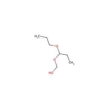 CCCOC(CC)OCO